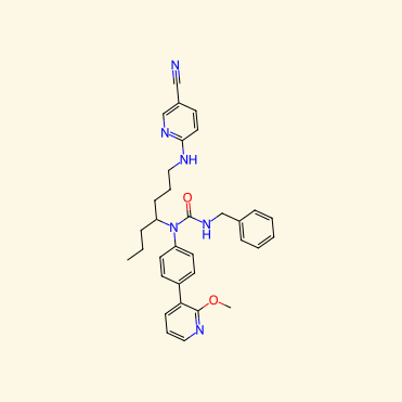 CCCC(CCCNc1ccc(C#N)cn1)N(C(=O)NCc1ccccc1)c1ccc(-c2cccnc2OC)cc1